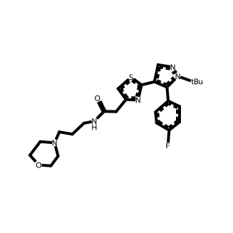 CC(C)(C)n1ncc(-c2nc(CC(=O)NCCCN3CCOCC3)cs2)c1-c1ccc(F)cc1